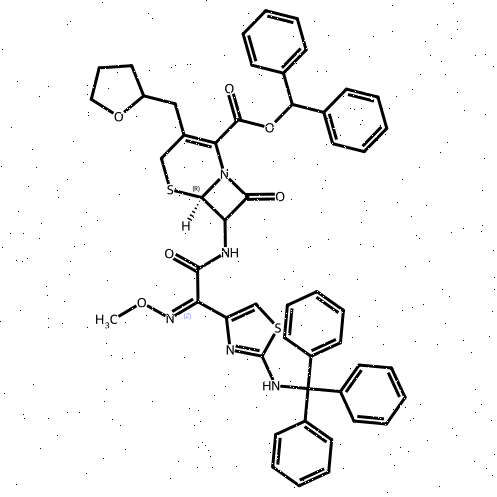 CO/N=C(\C(=O)NC1C(=O)N2C(C(=O)OC(c3ccccc3)c3ccccc3)=C(CC3CCCO3)CS[C@H]12)c1csc(NC(c2ccccc2)(c2ccccc2)c2ccccc2)n1